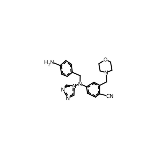 N#Cc1ccc(N(Cc2ccc(N)cc2)n2cnnc2)cc1CN1CCOCC1